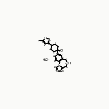 Cc1cc(C2CCC(Cl)(c3ccc4c(c3)CNCc3nncn3-4)CC2)no1.Cl